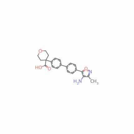 Cc1noc(-c2ccc(-c3ccc(C4(C(=O)O)CCOCC4)cc3)cc2)c1N